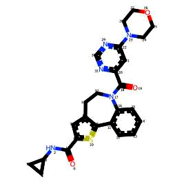 O=C(NC1CC1)c1cc2c(s1)-c1ccccc1N(C(=O)c1cc(N3CCOCC3)ncn1)CC2